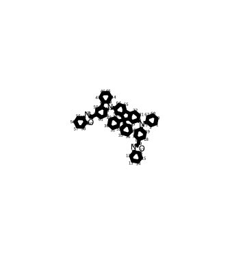 c1ccc(N(c2ccc(-c3nc4ccccc4o3)cc2)c2ccc3c(c2)C(c2ccccc2)(c2ccccc2)c2cc(-n4c5ccccc5c5cc(-c6nc7ccccc7o6)ccc54)ccc2-3)cc1